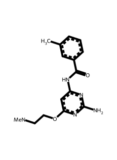 CNCCOc1cc(NC(=O)c2cccc(C)c2)nc(N)n1